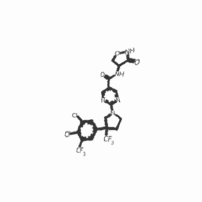 O=C(NC1CONC1=O)c1cnc(N2CCC(c3cc(Cl)c(Cl)c(C(F)(F)F)c3)(C(F)(F)F)C2)nc1